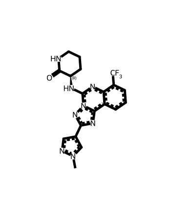 Cn1cc(-c2nc3c4cccc(C(F)(F)F)c4nc(N[C@@H]4CCCNC4=O)n3n2)cn1